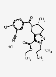 CCOC(=O)c1c2c(nn1[C@H](C)CN)C[C@@H](C)N(C(=O)c1ccc(Cl)c(C#N)c1)C2.Cl